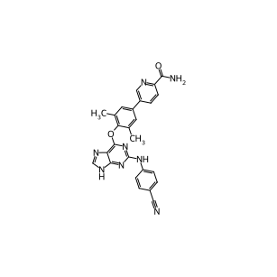 Cc1cc(-c2ccc(C(N)=O)nc2)cc(C)c1Oc1nc(Nc2ccc(C#N)cc2)nc2[nH]cnc12